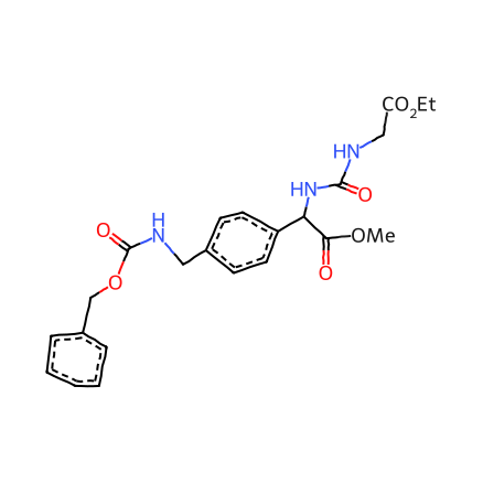 CCOC(=O)CNC(=O)NC(C(=O)OC)c1ccc(CNC(=O)OCc2ccccc2)cc1